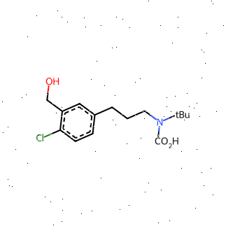 CC(C)(C)N(CCCc1ccc(Cl)c(CO)c1)C(=O)O